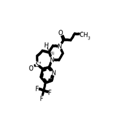 CCCC(=O)N1CCN2c3ncc(C(F)(F)F)cc3[S+]([O-])CC[C@H]2C1